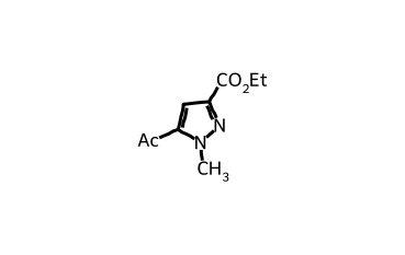 CCOC(=O)c1cc(C(C)=O)n(C)n1